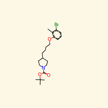 Cc1c(Br)cccc1OCCCCC1CCN(C(=O)OC(C)(C)C)CC1